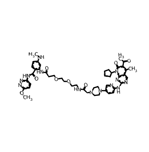 CNc1ccc(C(=O)Nc2ccc(OC)nn2)c(NC(=O)CCOCCOCCNC(=O)CN2CCN(c3ccc(Nc4ncc5c(C)c(C(C)=O)c(=O)n(C6CCCC6)c5n4)nc3)CC2)c1